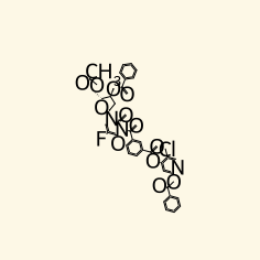 CC(=O)OC[C@H]1O[C@@H](n2cc(F)c(=O)n(C(=O)c3cccc(C(=O)Oc4cc(OC(=O)c5ccccc5)ncc4Cl)c3)c2=O)C[C@@H]1OC(=O)c1ccccc1